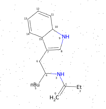 C=C(CC)NC(CCCC)CC1=CNC2C=CC=CC12